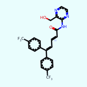 O=C(/C=C/C=C(c1ccc(C(F)(F)F)cc1)c1ccc(C(F)(F)F)cc1)Nc1nccnc1CO